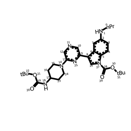 CCCNc1ccc2c(c1)c(-c1cncc(N3CCC(NC(=O)OC(C)(C)C)CC3)n1)cn2C(=O)OC(C)(C)C